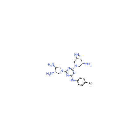 CC(=O)c1ccc(Nc2nc(N3C[C@H](N)C[C@H](N)C3)nc(N3C[C@@H](N)[C@@H](N)C3)n2)cc1